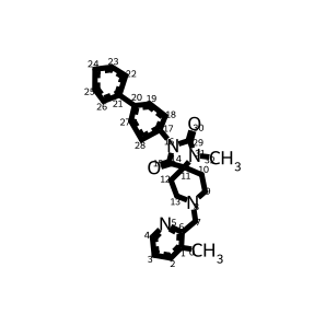 Cc1cccnc1CN1CCC2(CC1)C(=O)N(c1ccc(-c3ccccc3)cc1)C(=O)N2C